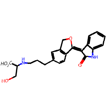 O=C1Nc2ccccc2C1=C1OCc2cc(CCCNC(CO)C(=O)O)ccc21